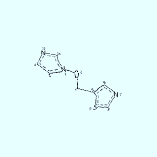 c1cn(OCc2cncs2)cn1